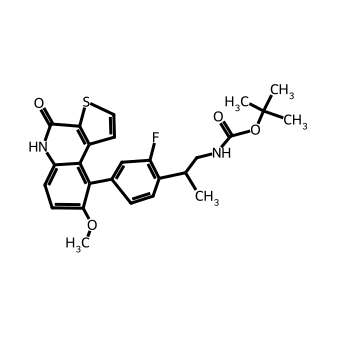 COc1ccc2[nH]c(=O)c3sccc3c2c1-c1ccc(C(C)CNC(=O)OC(C)(C)C)c(F)c1